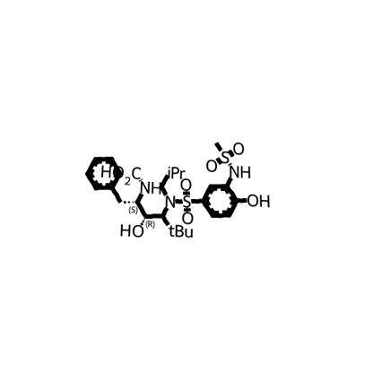 CC(C)CN(C([C@H](O)[C@H](Cc1ccccc1)NC(=O)O)C(C)(C)C)S(=O)(=O)c1ccc(O)c(NS(C)(=O)=O)c1